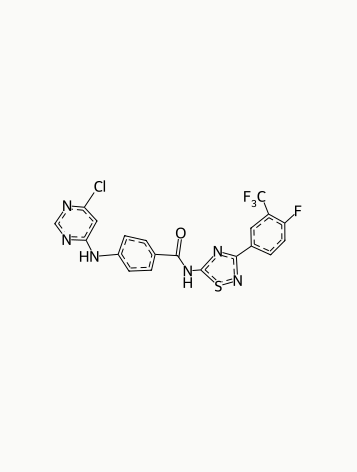 O=C(Nc1nc(-c2ccc(F)c(C(F)(F)F)c2)ns1)c1ccc(Nc2cc(Cl)ncn2)cc1